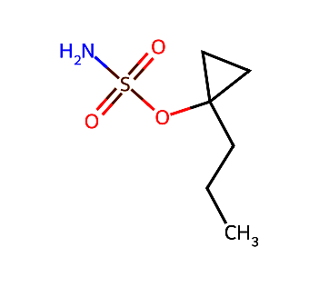 CCCC1(OS(N)(=O)=O)CC1